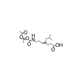 CC(=O)O[C@H](C)OC(=O)NCCC[C@H](CCC(=O)O)CC(C)C